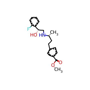 COC(=O)c1ccc(CC[C@@H](C)NC[C@H](O)c2ccccc2F)cc1